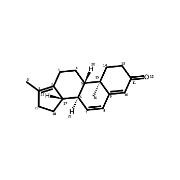 CC1=C2CC[C@H]3[C@@H](C=CC4=CC(=O)CC[C@@]43C)[C@@H]2CC1